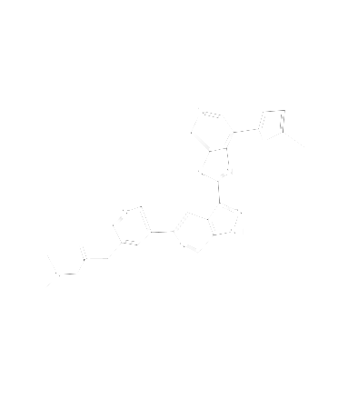 Cc1ccc(-c2cncc3[nH]c(-c4n[nH]c5cnc(-c6cncc(CC(=O)CN(C)C)c6)cc45)nc23)s1